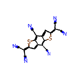 N#CC(C#N)=c1cc2c(C#N)c3sc(=C(C#N)C#N)cc3c(C#N)c2s1